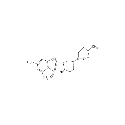 Cc1cc(C)c(S(=O)(=O)NC2CCC(N3CCC(C)CC3)CC2)c(C)c1